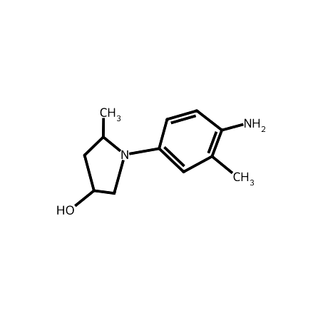 Cc1cc(N2CC(O)CC2C)ccc1N